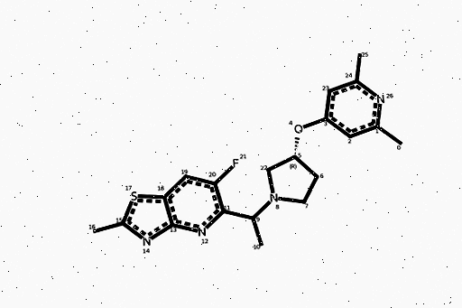 Cc1cc(O[C@@H]2CCN(C(C)c3nc4nc(C)sc4cc3F)C2)cc(C)n1